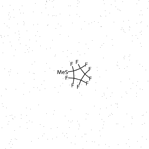 CSC1(F)C(F)(F)C(F)(F)C(F)(F)C1(F)F